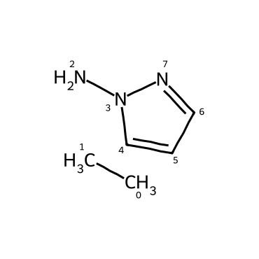 CC.Nn1cccn1